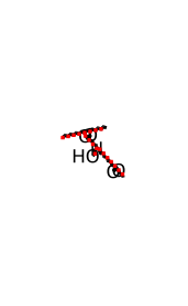 CCCCCCCCC(CCCCCCCC)OC(=O)CCCCN(CCO)CCCCCCCCCC(=O)OCCC